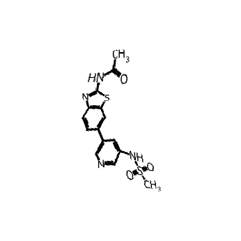 CC(=O)Nc1nc2ccc(-c3cncc(NS(C)(=O)=O)c3)cc2s1